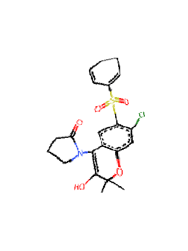 CC1(C)Oc2cc(Cl)c(S(=O)(=O)C3=CCCC=C3)cc2C(N2CCCC2=O)=C1O